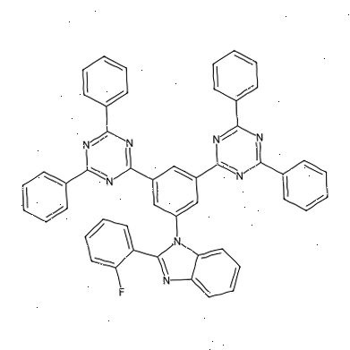 Fc1ccccc1-c1nc2ccccc2n1-c1cc(-c2nc(-c3ccccc3)nc(-c3ccccc3)n2)cc(-c2nc(-c3ccccc3)nc(-c3ccccc3)n2)c1